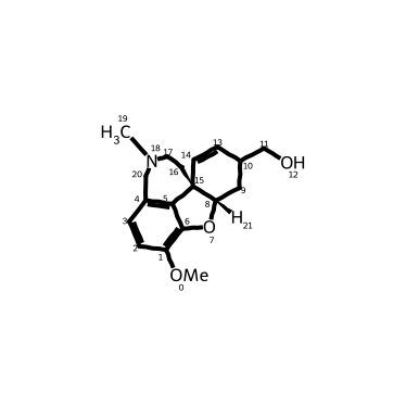 COc1ccc2c3c1O[C@H]1CC(CO)C=C[C@@]31CCN(C)C2